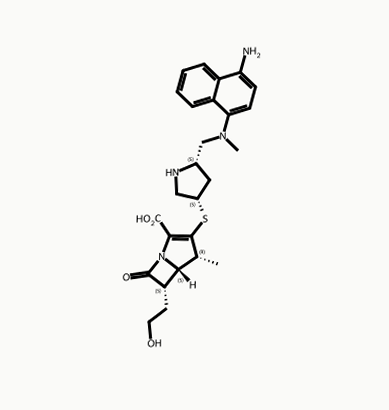 C[C@H]1C(S[C@@H]2CN[C@H](CN(C)c3ccc(N)c4ccccc34)C2)=C(C(=O)O)N2C(=O)[C@@H](CCO)[C@@H]12